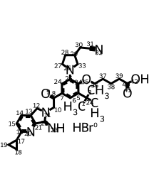 Br.CC(C)(C)c1cc(C(=O)CN2Cc3ccc(C4CC4)nc3C2=N)cc(N2CCC(CC#N)C2)c1OCCCCC(=O)O